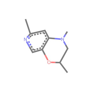 Cc1cc2c(cn1)OC(C)CN2C